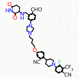 N#Cc1cc(OCCCCN2CCN(c3ccc(C=O)c(CNC4CCC(=O)NC4=O)c3)CC2)ccc1C1CCN(c2ccc(C#N)c(C(F)(F)F)c2F)CC1